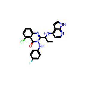 CCC(Nc1ccnc2[nH]ccc12)c1nc2cccc(Cl)c2c(=O)n1Nc1ccc(F)cc1